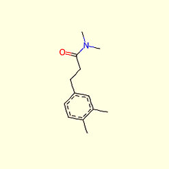 Cc1ccc(CCC(=O)N(C)C)cc1C